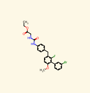 CCOC(=O)CNC(=O)Nc1ccc(Cc2ccc(OC)c(-c3cccc(Br)c3)c2F)cc1